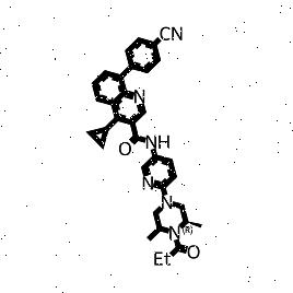 CCC(=O)N1C(C)CN(c2ccc(NC(=O)c3cnc4c(-c5ccc(C#N)cc5)cccc4c3C3CC3)cn2)C[C@H]1C